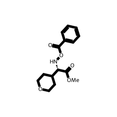 COC(=O)[C@@H](NOC(=O)c1ccccc1)C1CCOCC1